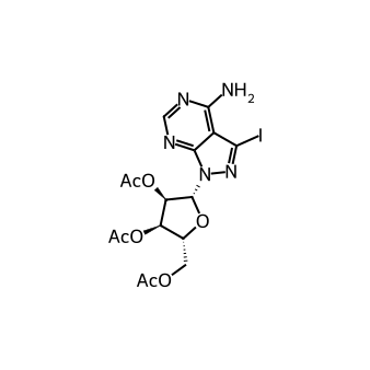 CC(=O)OC[C@H]1O[C@@H](n2nc(I)c3c(N)ncnc32)[C@H](OC(C)=O)[C@@H]1OC(C)=O